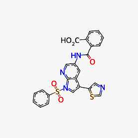 O=C(O)c1ccccc1C(=O)Nc1cnc2c(c1)c(-c1cncs1)cn2S(=O)(=O)c1ccccc1